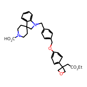 CCOC(=O)CC1(c2ccc(OCc3ccc(CN4CC5(CCN(C(=O)O)CC5)c5ccccc54)cc3)cc2)COC1